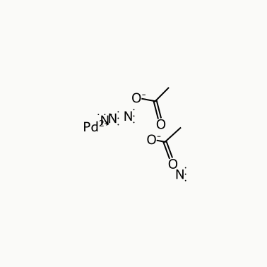 CC(=O)[O-].CC(=O)[O-].[N].[N].[N].[N].[Pd+2]